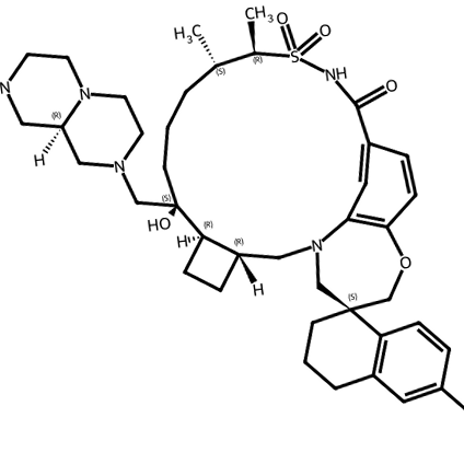 C[C@@H]1[C@@H](C)CCC[C@@](O)(CN2CCN3CCNC[C@@H]3C2)[C@@H]2CC[C@H]2CN2C[C@@]3(CCCc4cc(Cl)ccc43)COc3ccc(cc32)C(=O)NS1(=O)=O